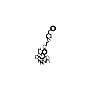 O=c1[nH]c2cc(OCCCN3CCC(Cc4ccccc4)CC3)ccc2c(=O)c2[nH]nnc12